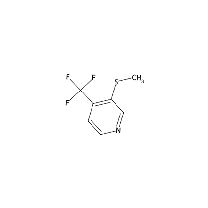 CSc1cnccc1C(F)(F)F